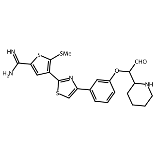 CSc1sc(C(=N)N)cc1-c1nc(-c2cccc(OC(C=O)C3CCCCN3)c2)cs1